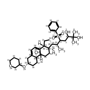 C[C@H](C(CC(O)C(C)(C)O)S(=O)(=O)c1ccccc1)[C@H]1CC[C@H]2C3=CC=C4C[C@@H](OC5CCCOC5)CC[C@]4(C)[C@H]3CC[C@]12C